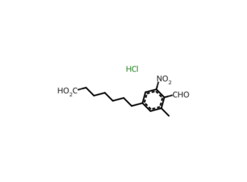 Cc1cc(CCCCCCC(=O)O)cc([N+](=O)[O-])c1C=O.Cl